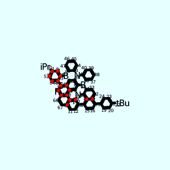 CC(C)c1ccc(-c2ccc(-c3cccc(-c4ccc(-c5ccc(C(C)(C)C)cc5)cc4)c3N3c4ccccc4B4c5ccccc5N5c6ccccc6B6c7ccccc7Sc7c6c5c4c3c7-c3c(F)cccc3F)cc2)cc1